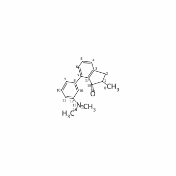 CC1Cc2cccc(-c3cccc(N(C)C)c3)c2C1=O